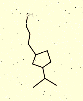 CC(C)C1CCC(CCC[SiH3])C1